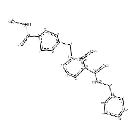 O=C(NO)c1ccc(Cn2cccc(C(=O)NCc3ccccc3)c2=O)cc1